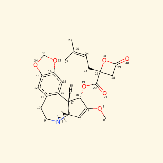 COC1=C[C@]23CCCN2CCc2cc4c(cc2[C@@H]3[C@@H]1OC(=O)[C@@]1(CC=C(C)C)CC(=O)O1)OCO4